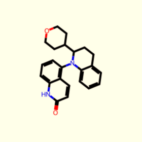 O=c1ccc2c(N3c4ccccc4CCC3C3CCOCC3)cccc2[nH]1